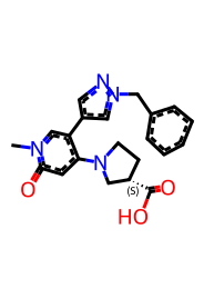 Cn1cc(-c2cnn(Cc3ccccc3)c2)c(N2CC[C@H](C(=O)O)C2)cc1=O